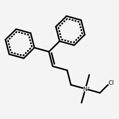 C[N+](C)(CCl)CCC=C(c1ccccc1)c1ccccc1